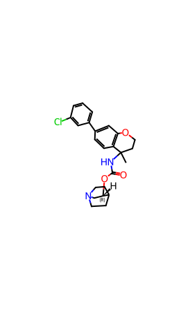 CC1(NC(=O)O[C@H]2CN3CCC2CC3)CCOc2cc(-c3cccc(Cl)c3)ccc21